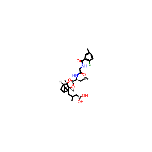 Cc1ccc(F)c(C(=O)NCC(=O)N[C@@H](CC(C)C)B2O[C@@H]3CC4C[C@H]([C@]3(C)O2)[C@]4(C)CCC(C)CB(O)O)c1